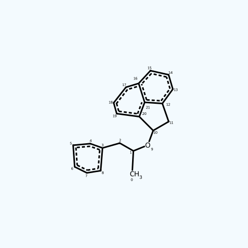 CC(Cc1ccccc1)OC1Cc2cccc3cccc1c23